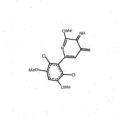 C=C1C=C(c2c(Cl)c(OC)cc(OC)c2Cl)N=C(OC)C1=N